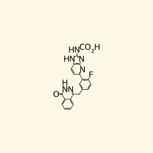 O=C(O)Nc1nc2nc(-c3cc(Cc4n[nH]c(=O)c5ccccc45)ccc3F)ccc2[nH]1